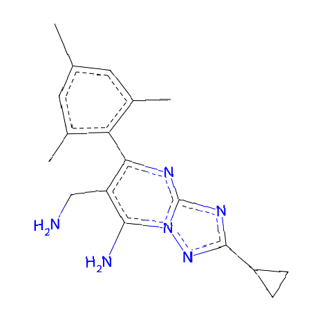 Cc1cc(C)c(-c2nc3nc(C4CC4)nn3c(N)c2CN)c(C)c1